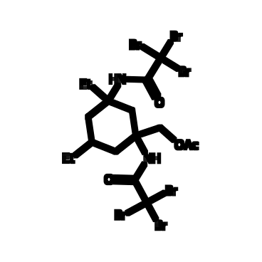 CCC1CC(CC)(NC(=O)C(Br)(Br)Br)CC(COC(C)=O)(NC(=O)C(Br)(Br)Br)C1